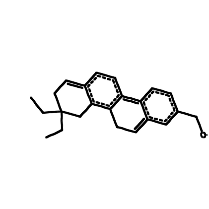 CCC1(CC)CC=c2ccc3c(c2C1)CC=c1cc(C[O])ccc1=3